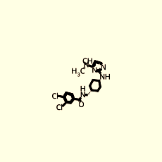 CN(C)c1ccnc(N[C@H]2CC[C@@H](CNC(=O)c3ccc(Cl)c(Cl)c3)CC2)n1